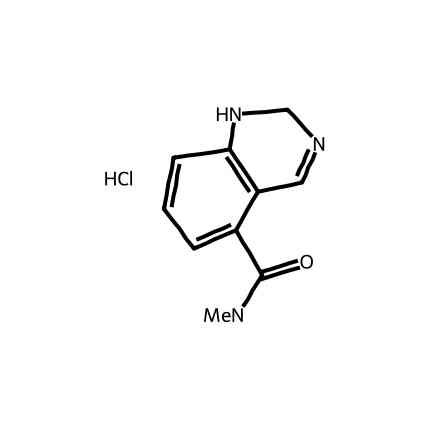 CNC(=O)c1cccc2c1C=NCN2.Cl